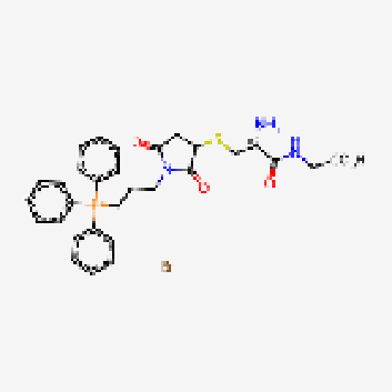 N[C@@H](CSC1CC(=O)N(CCC[P+](c2ccccc2)(c2ccccc2)c2ccccc2)C1=O)C(=O)NCC(=O)O.[Br-]